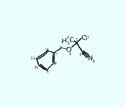 CC(Cl)(C#N)OCc1ccccc1